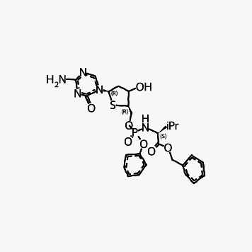 CC(C)[C@H](NP(=O)(OC[C@H]1S[C@@H](n2cnc(N)nc2=O)CC1O)Oc1ccccc1)C(=O)OCc1ccccc1